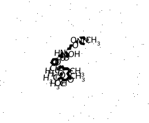 CO[C@H]([C@@H](C)[C@H]1O[C@]1(C)C[C@H](C)/C=C/C=C(\C)[C@H]1O[C@@H](CC(=O)N[C@H](CCCOC(=O)N2CCN(C)CC2)C(=O)O)CC[C@@H]1C)[C@@H](C)O